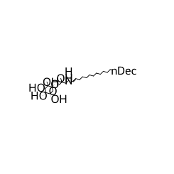 CCCCCCCCCCCCCCCCCCCCC=CNCC(O)CO[C@@H]1O[C@H](CO)[C@H](O)[C@H](O)[C@H]1O